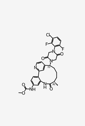 COC(=O)Nc1ccc2c(c1)NC(=O)[C@H](C)CCC[C@H](N1CC(=O)N(c3c(F)ccc(Cl)c3F)CC1=O)c1ccnc-2c1